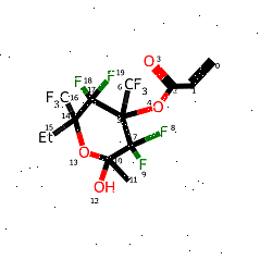 C=CC(=O)OC1(C(F)(F)F)C(F)(F)C(C)(O)OC(CC)(C(F)(F)F)C1(F)F